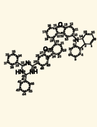 C1=CC2c3ccccc3N(c3ccc4oc5cccc(-c6cccc7c6oc6cc(C8N=C(c9ccccc9)NC(c9ccccc9)N8)ccc67)c5c4c3)C2C=C1